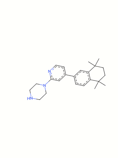 CC1(C)CCC(C)(C)c2cc(-c3ccnc(N4CCNCC4)c3)ccc21